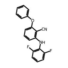 N#Cc1c(Nc2c(F)cccc2F)cccc1Oc1ccccc1